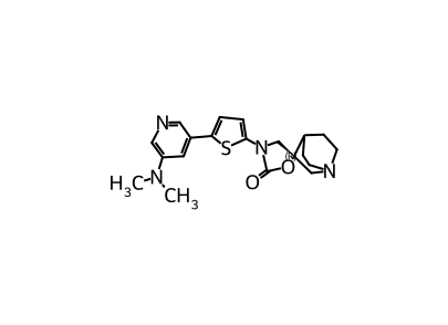 CN(C)c1cncc(-c2ccc(N3C[C@@]4(CN5CCC4CC5)OC3=O)s2)c1